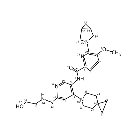 COc1ccc(C(=O)Nc2cnc(SNCCO)cc2N2CCC3(CC2)CC3)nc1N1CC2CC2C1